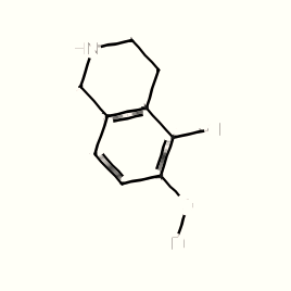 CCOc1ccc2c(c1Cl)CCNC2